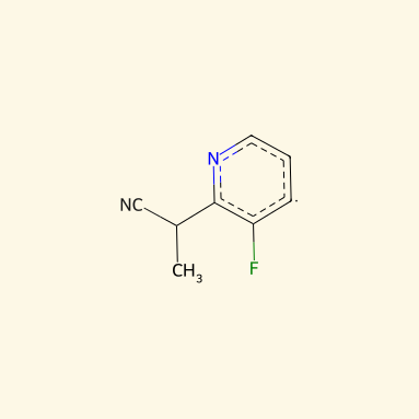 CC(C#N)c1ncc[c]c1F